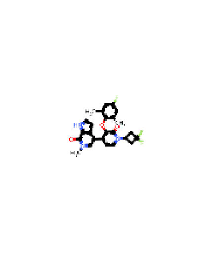 Cc1cc(F)cc(C)c1Oc1c(-c2cn(C)c(=O)c3[nH]ccc23)ccn(C2CC(F)(F)C2)c1=O